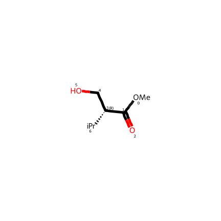 COC(=O)[C@@H](CO)C(C)C